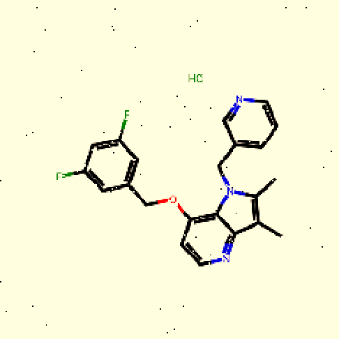 Cc1c(C)n(Cc2cccnc2)c2c(OCc3cc(F)cc(F)c3)ccnc12.Cl